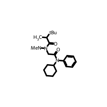 CNN(CC(=O)N(c1ccccc1)C1CCCCC1)C(=O)C(C)C(C)(C)C